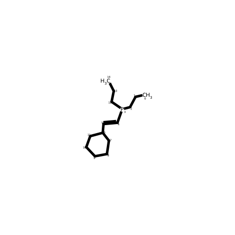 CCCP(C=CC1CCCCC1)CCC